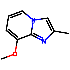 COc1cccn2cc(C)nc12